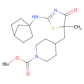 CC(C)(C)OC(=O)N1CCC(CC2(C)SC(NC34CCC(CC3)C4)=NC2=O)CC1